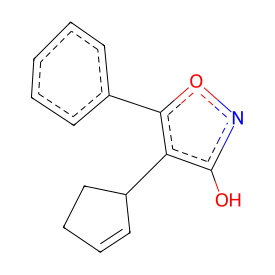 Oc1noc(-c2ccccc2)c1C1C=CCC1